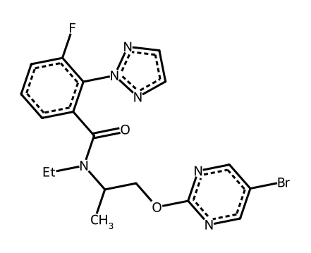 CCN(C(=O)c1cccc(F)c1-n1nccn1)C(C)COc1ncc(Br)cn1